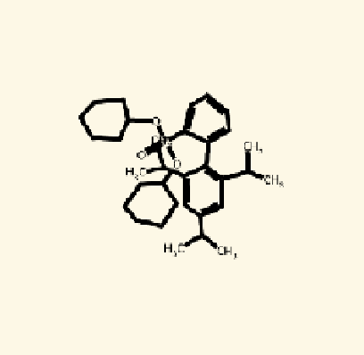 CC(C)c1cc(C(C)C)c(-c2ccccc2P(=O)(OC2CCCCC2)OC2CCCCC2)c(C(C)C)c1